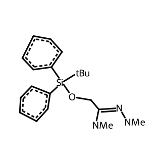 CN/N=C(/CO[Si](c1ccccc1)(c1ccccc1)C(C)(C)C)NC